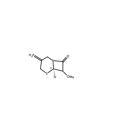 COC1C(=O)N2CC(=[PH3])CS[C@H]12